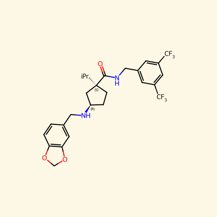 CC(C)[C@]1(C(=O)NCc2cc(C(F)(F)F)cc(C(F)(F)F)c2)CC[C@@H](NCc2ccc3c(c2)OCO3)C1